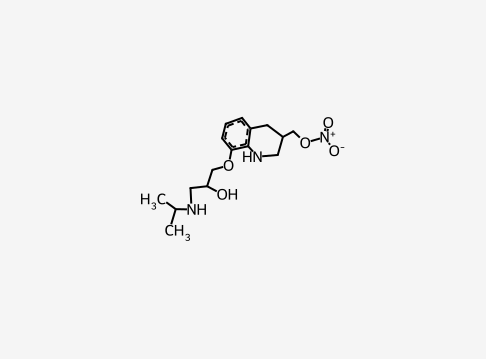 CC(C)NCC(O)COc1cccc2c1NCC(CO[N+](=O)[O-])C2